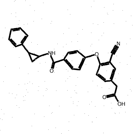 N#Cc1cc(CC(=O)O)ccc1Oc1ccc(C(=O)NC2CC2c2ccccc2)cc1